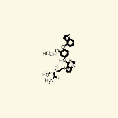 Cl.Cl.NC(=O)[C@H](CO)NCCn1ccc2ncnc(Nc3ccc(Oc4cccc5sccc45)c(Cl)c3)c21